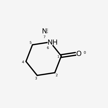 O=C1CCCCN1.[N]